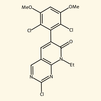 CCn1c(=O)c(-c2c(Cl)c(OC)cc(OC)c2Cl)cc2cnc(Cl)nc21